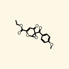 CCOC(=O)C1=CC(=O)C2(C(=O)c3ccc(OC)cc3)OC2O1